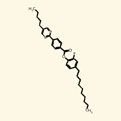 CCCCCCCCCCc1ccc(OC(=O)c2ccc(-c3ncc(CCCCC)cn3)cc2)c(F)c1